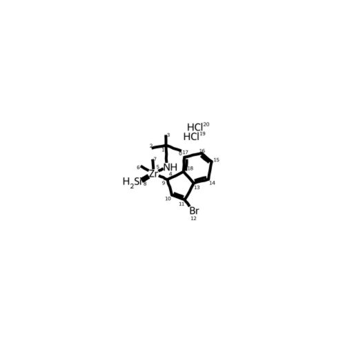 CC(C)(C)[NH][Zr]([CH3])([CH3])(=[SiH2])[CH]1C=C(Br)c2ccccc21.Cl.Cl